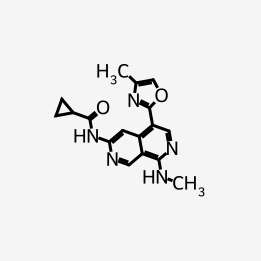 CNc1ncc(-c2nc(C)co2)c2cc(NC(=O)C3CC3)ncc12